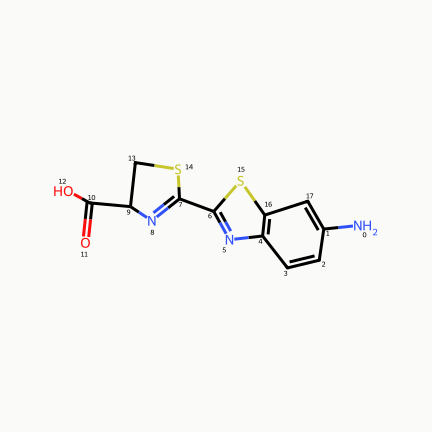 Nc1ccc2nc(C3=NC(C(=O)O)CS3)sc2c1